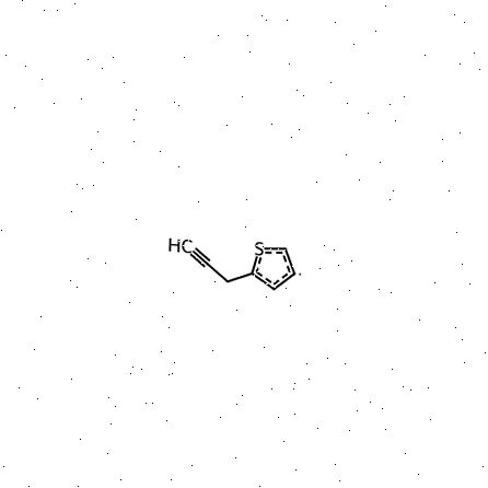 C#CCc1c[c]cs1